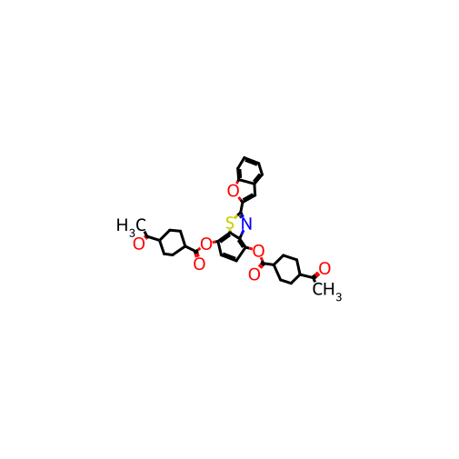 CC(=O)C1CCC(C(=O)Oc2ccc(OC(=O)C3CCC(C(C)=O)CC3)c3sc(-c4cc5ccccc5o4)nc23)CC1